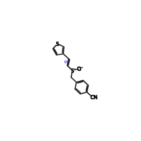 N#Cc1ccc(C[S+]([O-])/C=C/c2ccsc2)cc1